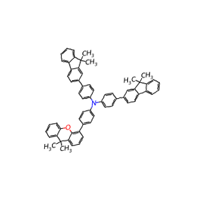 CC1(C)c2ccccc2-c2ccc(-c3ccc(N(c4ccc(-c5ccc6c(c5)C(C)(C)c5ccccc5-6)cc4)c4ccc(-c5cccc6c5Oc5ccccc5C6(C)C)cc4)cc3)cc21